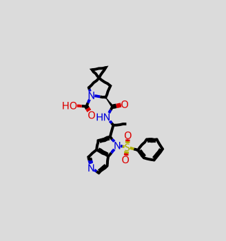 CC(NC(=O)[C@@H]1CC2(CC2)CN1C(=O)O)c1cc2cnccc2n1S(=O)(=O)c1ccccc1